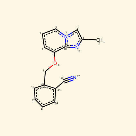 Cc1cn2cccc(OCc3ccccc3C#N)c2n1